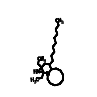 CCCCCCCCCCC1CC2(CC)NC2(CC)N2CCCCCCCCC12